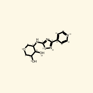 OC1COCC(Nc2nc(-c3ccncc3)ns2)C1O